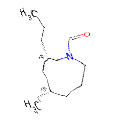 CCC[C@H]1C[C@@H](C)CCCN1C=O